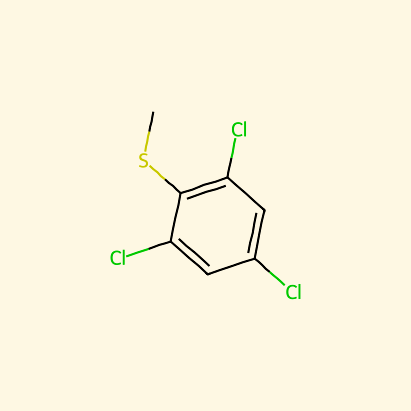 CSc1c(Cl)cc(Cl)cc1Cl